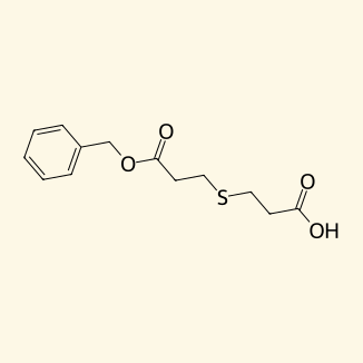 O=C(O)CCSCCC(=O)OCc1ccccc1